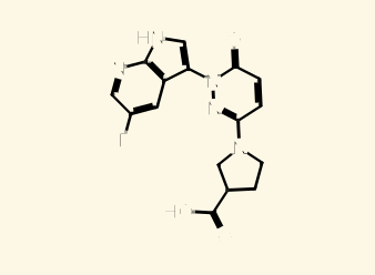 O=C(O)C1CCN(c2ccc(=O)n(-c3c[nH]c4ncc(F)cc34)n2)C1